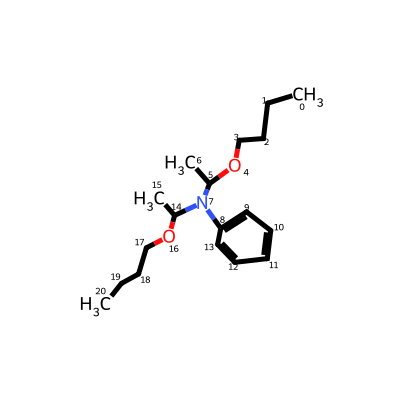 CCCCOC(C)N(c1ccccc1)C(C)OCCCC